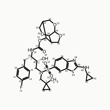 CC1(CN(C[C@@H](O)[C@H](Cc2ccc(F)cc2)NC(=O)OC2C3COC4OCC2C4OC3)S(=O)(=O)c2ccc3nc(NC4CC4)sc3c2)CC1